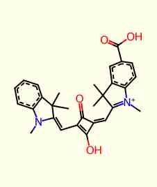 CN1/C(=C/C2=C(O)C(=C/C3=[N+](C)c4ccc(C(=O)O)cc4C3(C)C)/C2=O)C(C)(C)c2ccccc21